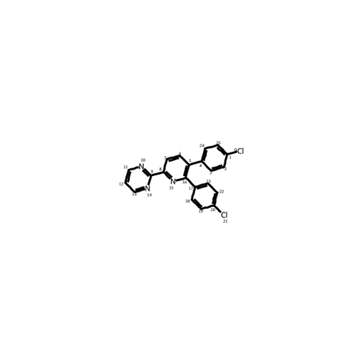 Clc1ccc(-c2ccc(-c3ncccn3)nc2-c2ccc(Cl)cc2)cc1